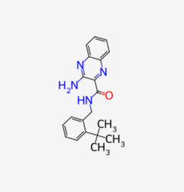 CC(C)(C)c1ccccc1CNC(=O)c1nc2ccccc2nc1N